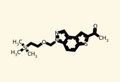 CC(=O)c1cc2c(ccc3c2cnn3COCC[Si](C)(C)C)s1